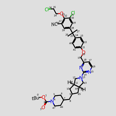 CC(C)(C)OC(=O)N1CCC(CC2C[C@@H]3CN(c4nccc(COc5ccc(C(C)(C)c6cc(Cl)c(OCCCl)c(C#N)c6)cc5)n4)C[C@@H]3C2)CC1